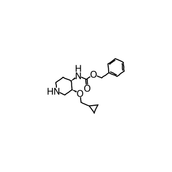 O=C(N[C@@H]1CCNC[C@@H]1OCC1CC1)OCc1ccccc1